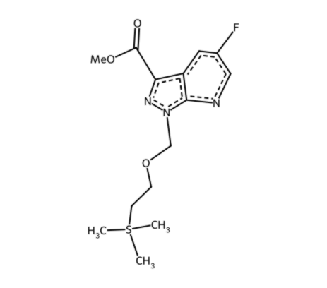 COC(=O)c1nn(COCCS(C)(C)C)c2ncc(F)cc12